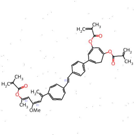 C=C(C)C(=O)OC1=CC(c2ccc(/C=C/C3=CC=C=C(C(=C)/C=C(\C=C(/C)OC(=O)C(=C)C)OC)C=C3)cc2)=CCC(OC(=O)C(=C)C)=C1